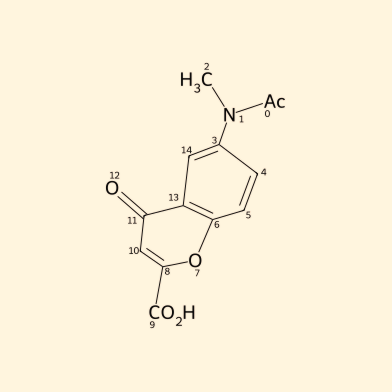 CC(=O)N(C)c1ccc2oc(C(=O)O)cc(=O)c2c1